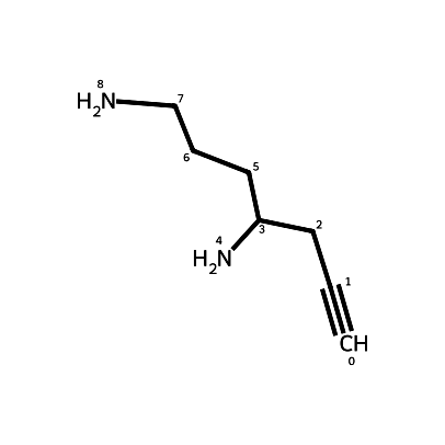 C#CCC(N)CCCN